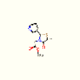 CC1SC(c2cccnc2)N(CC(=O)OC(C)(C)C)C1=O